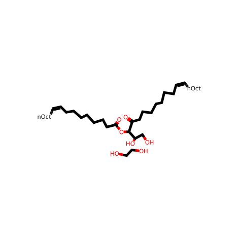 CCCCCCCC/C=C\CCCCCCCC(=O)OC(C(=O)CCCCCCC/C=C\CCCCCCCC)C(O)CO.OCCO